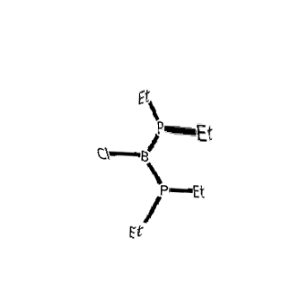 CCP(CC)B(Cl)P(CC)CC